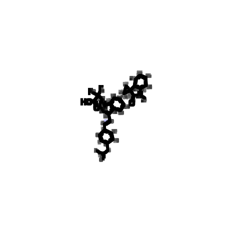 CN(C)Cc1ccc(/C=C/c2n[nH]c3cc([C@@H]4C[C@@]45C(=O)N(C)c4ccccc45)ccc23)cc1.O=C(O)C(F)(F)F